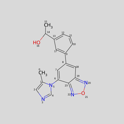 Cc1cncn1-c1cc(-c2cccc(C(C)O)c2)cc2nonc12